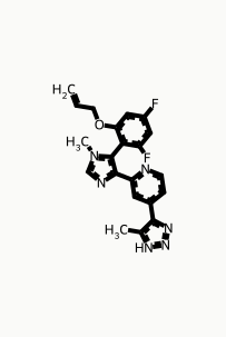 C=CCOc1cc(F)cc(F)c1-c1c(-c2cc(-c3nn[nH]c3C)ccn2)ncn1C